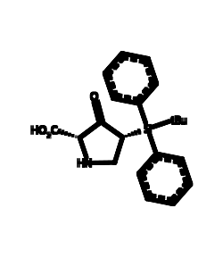 CC(C)(C)[Si](c1ccccc1)(c1ccccc1)[C@@H]1CN[C@H](C(=O)O)C1=O